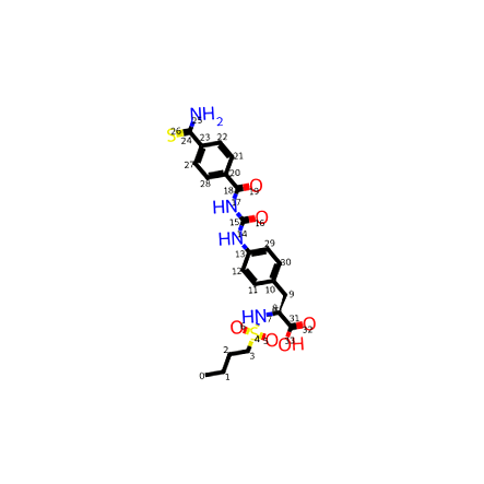 CCCCS(=O)(=O)N[C@@H](Cc1ccc(NC(=O)NC(=O)c2ccc(C(N)=S)cc2)cc1)C(=O)O